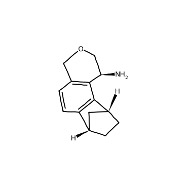 N[C@@H]1COCc2ccc3c(c21)[C@@H]1CC[C@H]3C1